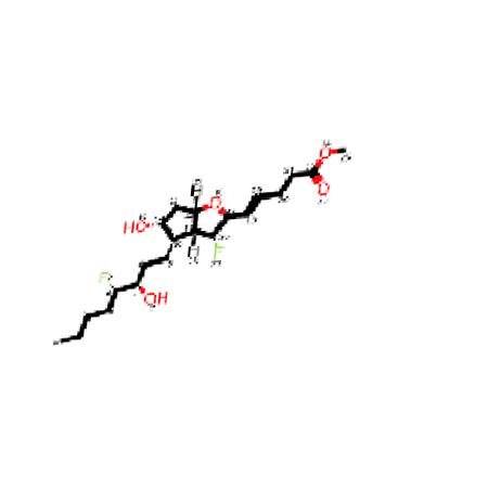 CCCC[C@H](F)[C@H](O)CC[C@@H]1[C@@H]2[C@H](C[C@H]1O)OC(/C=C/CCC(=O)OC)[C@@H]2F